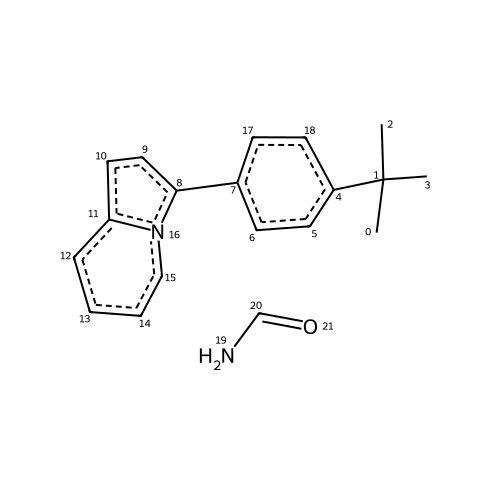 CC(C)(C)c1ccc(-c2ccc3ccccn23)cc1.NC=O